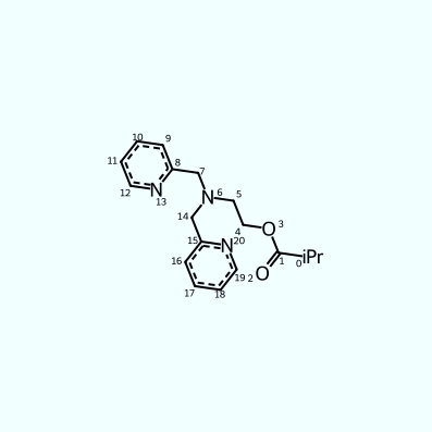 CC(C)C(=O)OCCN(Cc1ccccn1)Cc1ccccn1